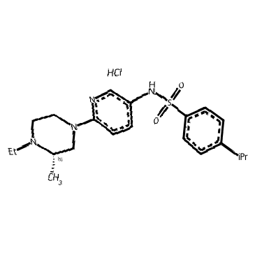 CCN1CCN(c2ccc(NS(=O)(=O)c3ccc(C(C)C)cc3)cn2)C[C@@H]1C.Cl